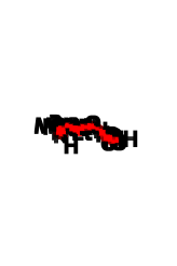 CCc1cc(Nc2ncc(Br)c(Nc3ccc4nccnc4c3P(C)(C)=O)n2)c(OC)cc1N1CCC(N2CCN(C(=O)CCCCN3CCN(c4ccc5c(c4)C(=O)N(C4CCC(=O)NC4=O)C5=O)CC3)CC2)CC1